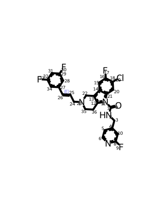 O=C(NCc1ccnc(F)c1)n1c2c(c3cc(F)c(Cl)cc31)CN(C/C=C/c1cc(F)cc(F)c1)CC2